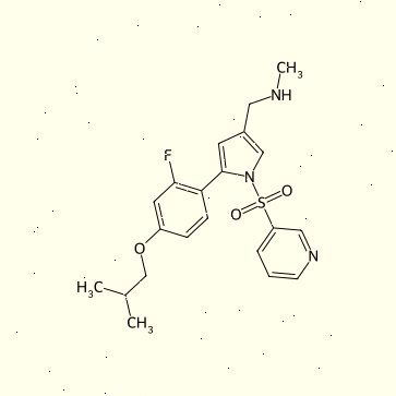 CNCc1cc(-c2ccc(OCC(C)C)cc2F)n(S(=O)(=O)c2cccnc2)c1